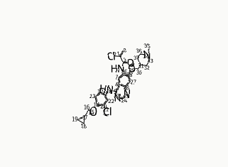 C=C(Cl)C(=O)Nc1cc2c(Nc3ccc(OCC4CC4)c(Cl)c3)ncnc2cc1OCC1CCN(C)CC1